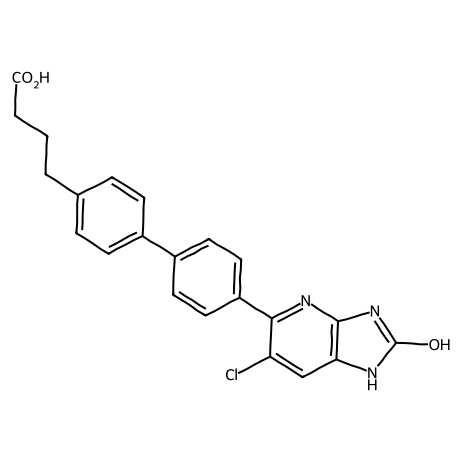 O=C(O)CCCc1ccc(-c2ccc(-c3nc4nc(O)[nH]c4cc3Cl)cc2)cc1